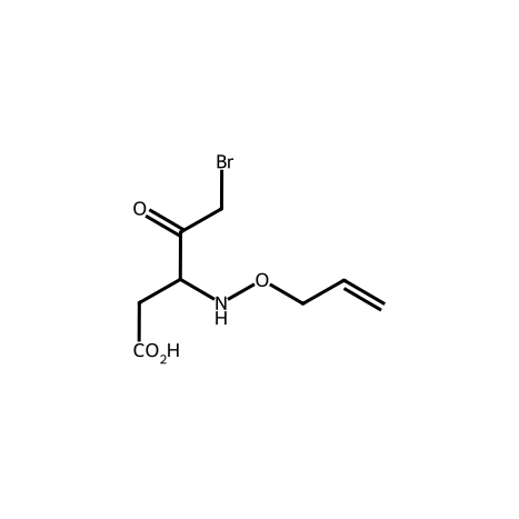 C=CCONC(CC(=O)O)C(=O)CBr